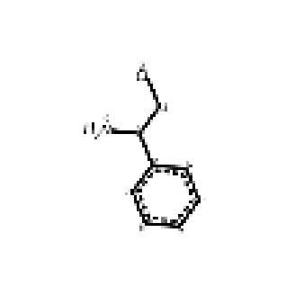 NC(CCl)c1ccccc1